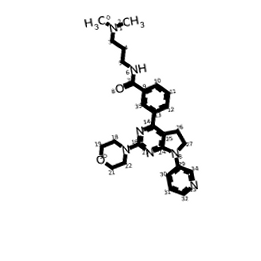 CN(C)CCCNC(=O)c1cccc(-c2nc(N3CCOCC3)nc3c2CCN3c2cccnc2)c1